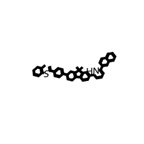 C=C(SC1=C(C)CCC=C1)c1ccc(C2CCC3=C(C2)C(C)(C)c2cc(C4C=CC=C(c5ccc6ccccc6c5)N4)ccc23)cc1